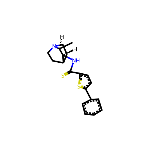 C[C@H]1[C@H](NC(=S)c2ccc(-c3ccccc3)s2)C2CCN1CC2